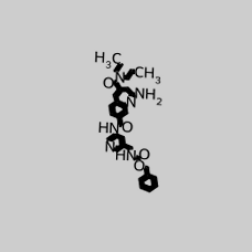 CCCN(CCC)C(=O)C1=Cc2ccc(C(=O)Nc3cncc(CNC(=O)OCc4ccccc4)c3)cc2N=C(N)C1